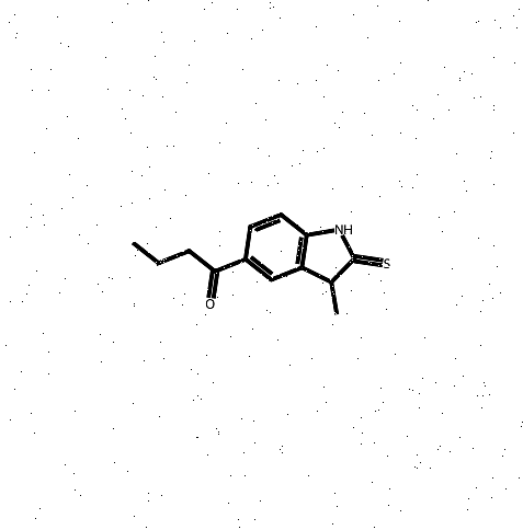 CCCC(=O)c1ccc2c(c1)C(C)C(=S)N2